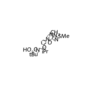 CSc1ncc2c(n1)N(C)CCN(c1cccc(OC(CN(CC(C)(C)C)C(=O)O)C(C)C)c1)C2=O